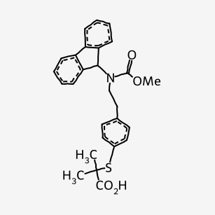 COC(=O)N(CCc1ccc(SC(C)(C)C(=O)O)cc1)C1c2ccccc2-c2ccccc21